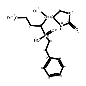 CCOC(=O)CCC(N(C=O)[C@@H]1CSC(=O)N1)P(=O)(O)CCc1ccccc1